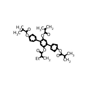 C=C(C)C(=O)Oc1ccc(-c2cc(OC(=O)C(=C)CC)c(-c3ccc(OC(=O)C(=C)C)cc3)cc2OC(=O)C(=C)C)cc1